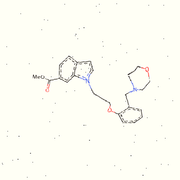 COC(=O)c1ccc2ccn(CCOc3ccccc3CN3CCOCC3)c2c1